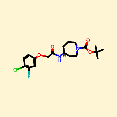 CC(C)(C)OC(=O)N1CCC[C@H](NC(=O)COc2ccc(Cl)c(F)c2)CC1